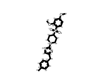 COc1ccc(S(=O)(=O)C2CCN(c3nc(Cc4ccc(C)cc4)cs3)CC2)c(OC)c1